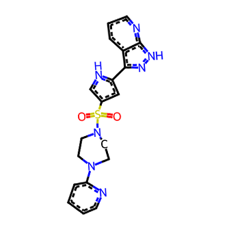 O=S(=O)(c1c[nH]c(-c2n[nH]c3ncccc23)c1)N1CCN(c2ccccn2)CC1